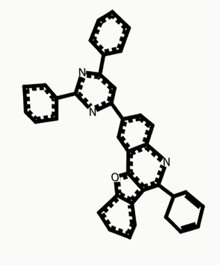 C1=CCC(c2nc3ccc(-c4cc(-c5ccccc5)nc(-c5ccccc5)n4)cc3c3oc4ccccc4c23)C=C1